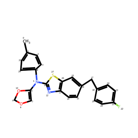 Cc1ccc(N(C2=COCO2)c2nc3ccc(Cc4ccc(F)cc4)cc3s2)cc1